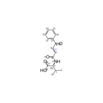 CC(C)[C@H](NC(=O)/C=C/C(=O)c1ccccc1)C(=O)O